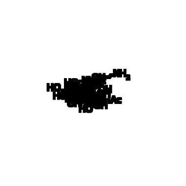 CC(=O)N[C@@H]1[C@H](O)C[C@](O[C@H]2[C@@H](O)[C@@H](CO)O[C@@H](O[C@H]3[C@H](O)[C@@H](CO[C@]4(C(=O)O)C[C@H](O)[C@@H](NC(C)=O)[C@H](C(O)C(O)CO)O4)O[C@@H](O[C@H]4[C@@H](O)[C@@H](CO)O[C@@H](OCCCCCN)[C@@H]4O)[C@@H]3NC(C)=O)[C@@H]2O)(C(=O)O)O[C@@H]1C(O)C(O)CO